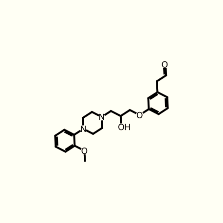 COc1ccccc1N1CCN(CC(O)COc2cccc(CC=O)c2)CC1